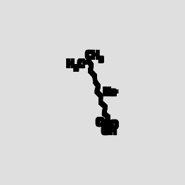 CC(C)CCCCCCCCCCCS(=O)(=O)O.[Na]